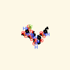 CC(=O)CS(=O)(=O)Nc1ccc(C(=O)c2ccc(C)cc2)n1C.CC(=O)CS(=O)(=O)Nc1ccc(C(C)=O)n1C.CC(=O)CS(=O)(=O)Nc1ccc(CC(C)C)cc1C.CC(=O)CS(=O)(=O)Nc1ccc(NS(=O)(=O)C(F)(F)F)cc1C